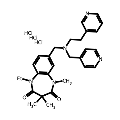 CCN1C(=O)C(C)(C)C(=O)N(C)c2cc(CN(CCc3cccnc3)Cc3ccncc3)ccc21.Cl.Cl.Cl